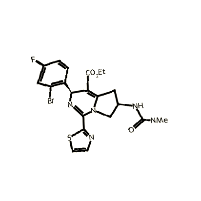 CCOC(=O)C1=C2CC(NC(=O)NC)CN2C(c2nccs2)=N[C@H]1c1ccc(F)cc1Br